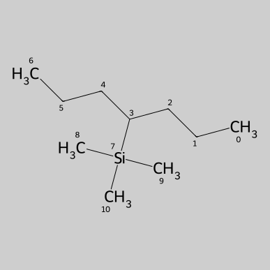 CCCC(CCC)[Si](C)(C)C